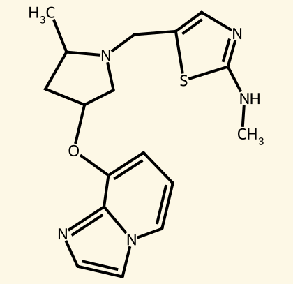 CNc1ncc(CN2CC(Oc3cccn4ccnc34)CC2C)s1